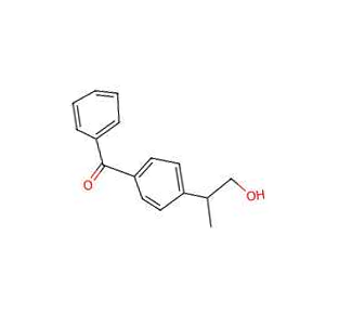 CC(CO)c1ccc(C(=O)c2ccccc2)cc1